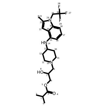 CC(C)C(=O)OCC(O)CN1CCC(Nc2cccc3c2cc(I)n3CC(F)(F)F)CC1